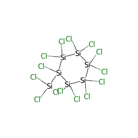 Cl[Si](Cl)(Cl)[Si]1(Cl)[Si](Cl)(Cl)[Si](Cl)(Cl)[Si](Cl)(Cl)[Si](Cl)(Cl)[Si]1(Cl)Cl